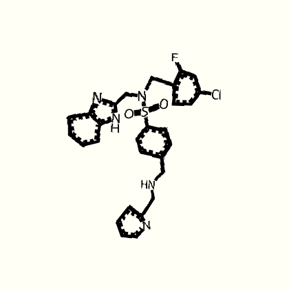 O=S(=O)(c1ccc(CNCc2ccccn2)cc1)N(Cc1nc2ccccc2[nH]1)Cc1ccc(Cl)cc1F